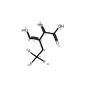 N=C(C(=O)O)/C(=C\O)CC(F)(F)F